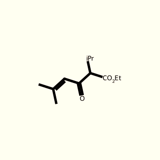 CCOC(=O)C(C(=O)C=C(C)C)C(C)C